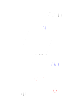 CC(C)(C)OC(=O)NC1CCCN(C(=O)O)C1